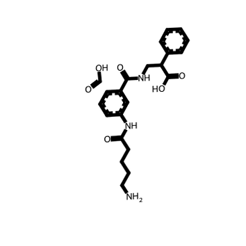 NCCCCC(=O)Nc1cccc(C(=O)NCC(C(=O)O)c2ccccc2)c1.O=CO